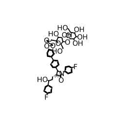 O=C1[C@H](CCC(O)c2ccc(F)cc2)C(c2ccc(-c3ccc(OS(=O)(=O)CC4OC(CO)C(OC5OC(CO)C(O)C(O)C5O)C(O)C4O)cc3)cc2)N1c1ccc(F)cc1